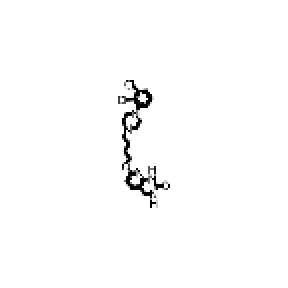 O=C1NCc2ccc(OCCCCN3CCN(c4cccc(Cl)c4Cl)CC3)nc2N1